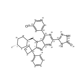 C[C@H]1CC[C@H](Cn2c(C3(c4ccccc4)CCC3)nc3nc(-c4n[nH]c(=O)[nH]4)nc(-c4cncc(Cl)c4)c32)CC1